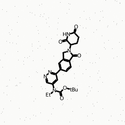 CCN(C(=O)OC(C)(C)C)c1cnnc(-c2ccc3c(c2)CN(C2CCC(=O)NC2=O)C3=O)c1